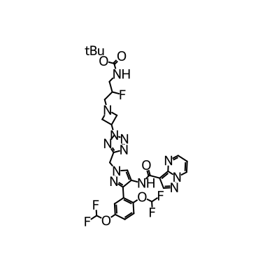 CC(C)(C)OC(=O)NCC(F)CN1CC(n2nnc(Cn3cc(NC(=O)c4cnn5cccnc45)c(-c4cc(OC(F)F)ccc4OC(F)F)n3)n2)C1